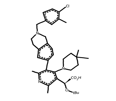 Cc1cc(CN2CCc3cc(-c4c(C)nc(C)c([C@H](OC(C)(C)C)C(=O)O)c4N4CCC(C)(C)CC4)ccc3C2)ccc1Cl